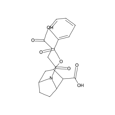 O=C(O)CCC(=O)N1C2CCC1C(C(=O)O)C(OC(=O)c1ccccc1)C2